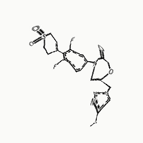 CSc1cn(C[C@H]2CN(c3cc(F)c(C4=CCS(=O)(=O)CC4)c(F)c3)C(=O)O2)nn1